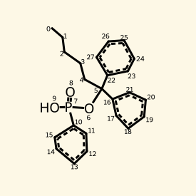 CCCCCC(OP(=O)(O)c1ccccc1)(c1ccccc1)c1ccccc1